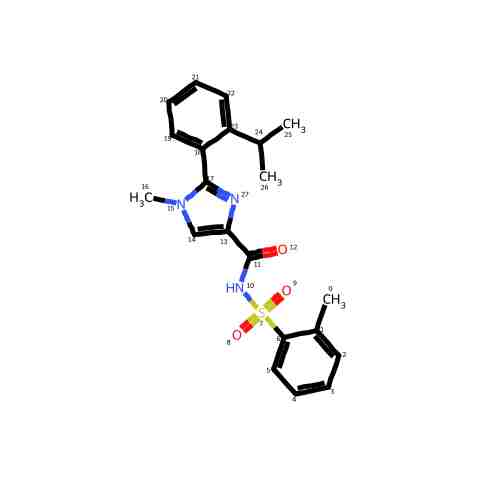 Cc1ccccc1S(=O)(=O)NC(=O)c1cn(C)c(-c2ccccc2C(C)C)n1